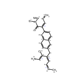 C=N/C=C(\C(=O)N(CC)NC)c1ccc2cc(CC(=C/C=N\C)/C(Cl)=C/N)ccc2n1